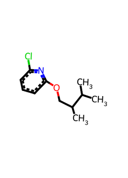 CC(C)C(C)COc1cccc(Cl)n1